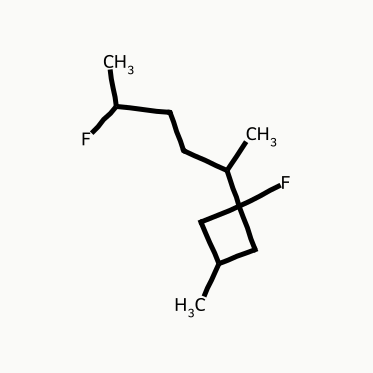 CC(F)CCC(C)C1(F)CC(C)C1